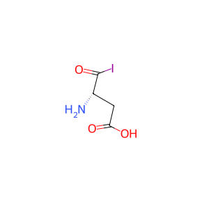 N[C@@H](CC(=O)O)C(=O)I